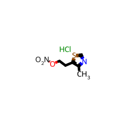 Cc1ncsc1CCO[N+](=O)[O-].Cl